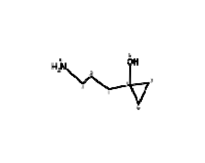 NCCCC1(O)CC1